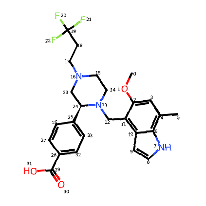 COc1cc(C)c2[nH]ccc2c1CN1CCN(CCC(F)(F)F)C[C@@H]1c1ccc(C(=O)O)cc1